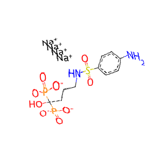 Nc1ccc(S(=O)(=O)NCCCC(O)(P(=O)([O-])[O-])P(=O)([O-])[O-])cc1.[Na+].[Na+].[Na+].[Na+]